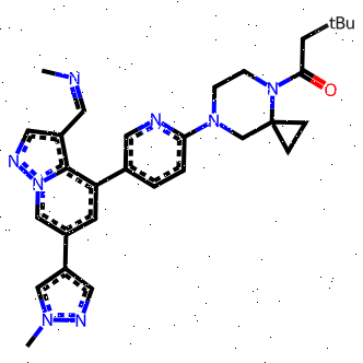 C/N=C\c1cnn2cc(-c3cnn(C)c3)cc(-c3ccc(N4CCN(C(=O)CC(C)(C)C)C5(CC5)C4)nc3)c12